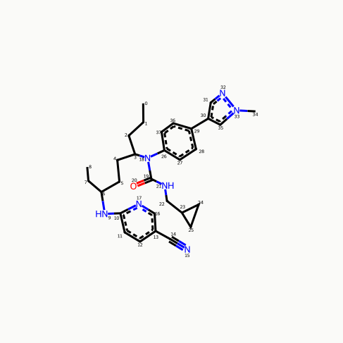 CCCC(CCC(CC)Nc1ccc(C#N)cn1)N(C(=O)NCC1CC1)c1ccc(-c2cnn(C)c2)cc1